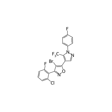 Fc1ccc(-n2ncc(-c3onc(-c4c(F)cccc4Cl)c3Br)c2C(F)(F)F)cc1